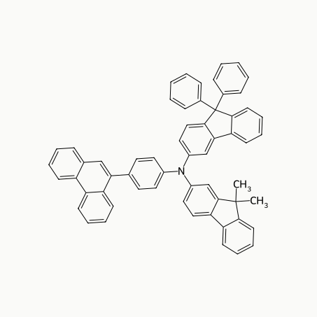 CC1(C)c2ccccc2-c2ccc(N(c3ccc(-c4cc5ccccc5c5ccccc45)cc3)c3ccc4c(c3)-c3ccccc3C4(c3ccccc3)c3ccccc3)cc21